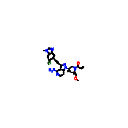 C=CC(=O)N1C[C@@H](n2nc(C#Cc3cc4ncn(C)c4cc3Cl)c3c(N)nccc32)C[C@@H]1COC